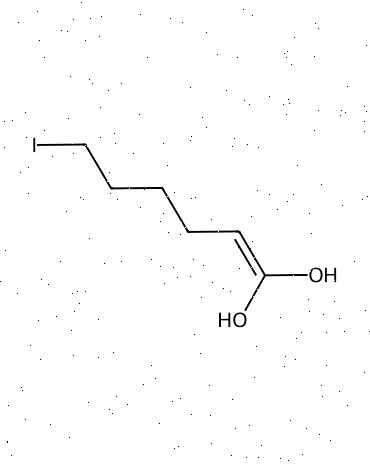 OC(O)=CCCCCI